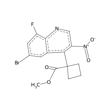 COC(=O)C1(c2c([N+](=O)[O-])cnc3c(F)cc(Br)cc23)CCC1